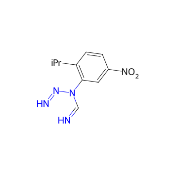 CC(C)c1ccc([N+](=O)[O-])cc1N(C=N)N=N